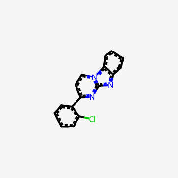 Clc1ccccc1-c1ccn2c(n1)nc1ccccc12